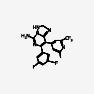 Cc1cc(C2=C(c3cc(F)cc(F)c3)N=C(N)N3NCN=C23)cc(C(F)(F)F)n1